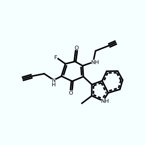 C#CCNC1=C(F)C(=O)C(NCC#C)=C(c2c(C)[nH]c3ccccc23)C1=O